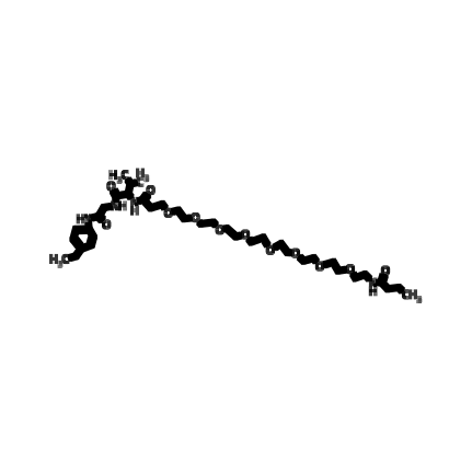 CCCC(=O)NCCOCCOCCOCCOCCOCCOCCOCCOCCC(=O)NC(C(=O)NCC(=O)Nc1ccc(CC)cc1)C(C)C